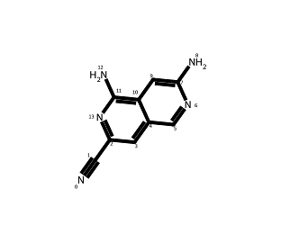 N#Cc1cc2cnc(N)cc2c(N)n1